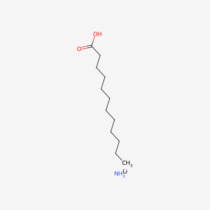 CCCCCCCCCCCC(=O)O.N.[Li]